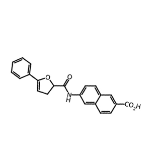 O=C(O)c1ccc2cc(NC(=O)C3CC=C(c4ccccc4)O3)ccc2c1